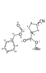 CC(C)(C)OC(=O)N1C[C@H](C#N)C[C@H]1C(=O)OCc1ccccc1